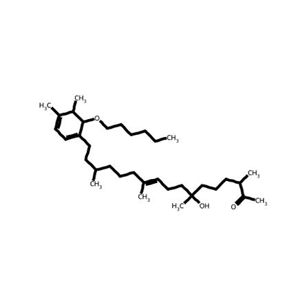 CCCCCCOC1C(CCC(C)CCC/C(C)=C/CCC(C)(O)CCCC(C)C(C)=O)=CC=C(C)C1C